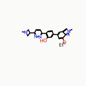 CCOc1cc(-c2ccc(-c3ccc(C4CN(C)C4)nn3)c(O)c2)cc2cn(C)nc12